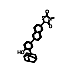 CN1C(=O)SC(c2ccc3cc(-c4ccc(O)c(C56CC7CC(CC(C7)C5)C6)c4)ccc3c2)C1=O